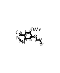 COc1cc2c(Cl)ncnc2cc1OCCBr